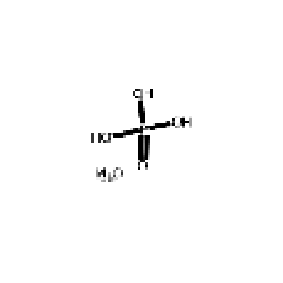 O.O=P(O)(O)O.[Cu]